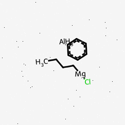 CCC[CH2][Mg][Cl].[AlH3].[c]1ccccc1